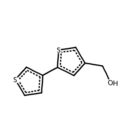 OCc1csc(-c2ccsc2)c1